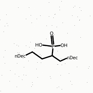 CCCCCCCCCCCC[C](CCCCCCCCCCC)P(=O)(O)O